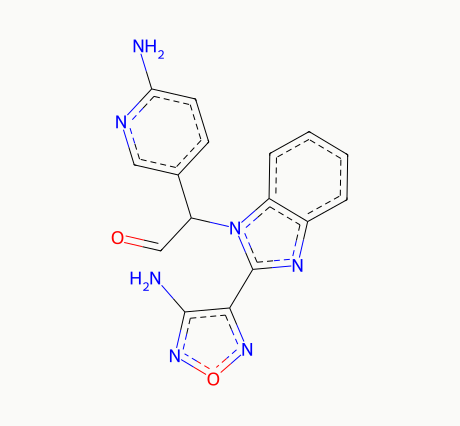 Nc1ccc(C(C=O)n2c(-c3nonc3N)nc3ccccc32)cn1